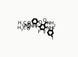 CN(C)S(=O)(=O)Nc1cccc(Oc2c(F)c(F)c(F)c(Nc3ccc(I)cc3F)c2C(N)=O)c1